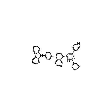 c1ccc(-c2nc(-c3ccncc3)cc(-c3ccc(-c4ccc(-n5c6ccccc6c6ccccc65)cc4)c4ccccc34)n2)cc1